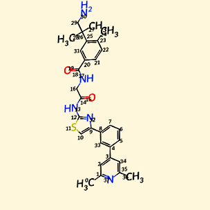 Cc1cc(-c2cccc(-c3csc(NC(=O)CNC(=O)c4ccc(C)c(C(C)(C)CN)c4)n3)c2)cc(C)n1